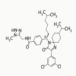 CC(C)CCCC[C@H](c1ccc(C(=O)NCc2n[nH]n2C)cc1)N1C(=O)C(c2cc(Cl)cc(Cl)c2)=NC12CCC(C(C)C)CC2